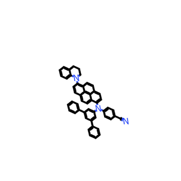 N#Cc1ccc(N(c2cc(-c3ccccc3)cc(-c3ccccc3)c2)c2ccc3ccc4c(N5CCCc6ccccc65)ccc5ccc2c3c54)cc1